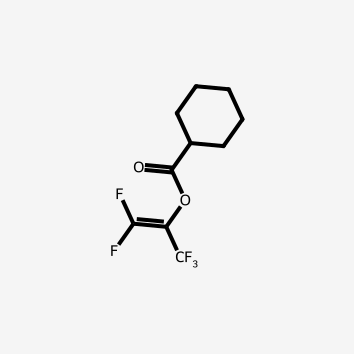 O=C(OC(=C(F)F)C(F)(F)F)C1CCCCC1